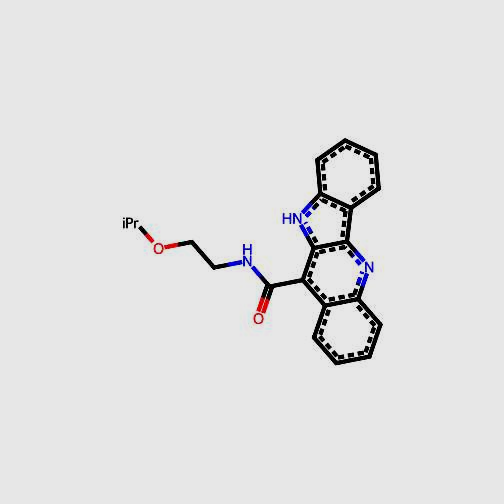 CC(C)OCCNC(=O)c1c2ccccc2nc2c1[nH]c1ccccc12